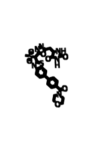 CS(=O)(=O)C(c1nnc(CC2NC(=O)NC2=O)o1)c1nc2ccc(-c3ccc(C(=O)N4CCOCC4)cc3)cc2s1